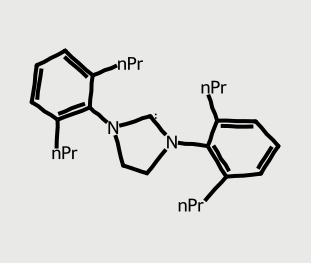 CCCc1cccc(CCC)c1N1[C]N(c2c(CCC)cccc2CCC)CC1